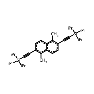 Cc1c(C#C[Si](C(C)C)(C(C)C)C(C)C)ccc2c(C)c(C#C[Si](C(C)C)(C(C)C)C(C)C)ccc12